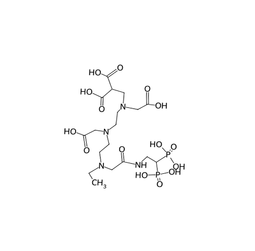 CCN(CCN(CCN(CC(=O)O)CC(C(=O)O)C(=O)O)CC(=O)O)CC(=O)NCC(P(=O)(O)O)P(=O)(O)O